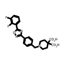 O=C(O)C1(C(=O)O)CCN(Cc2ccc(-c3noc(-c4cccc(F)c4F)n3)cc2)CC1